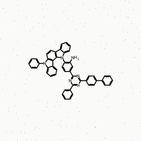 Nc1cc(-c2nc(-c3ccccc3)nc(-c3ccc(-c4ccccc4)cc3)n2)ccc1-n1c2ccccc2c2ccc3c(c4ccccc4n3-c3ccccc3)c21